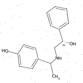 CC(NC[C@@H](O)c1ccccc1)c1ccc(O)cc1